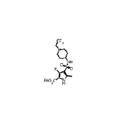 CCOC(=O)c1[nH]c(C)c(S(=O)(=O)NC2CCN(CC(F)(F)F)CC2)c1F